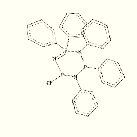 ClP1N=P(c2ccccc2)(c2ccccc2)N(c2ccccc2)P(c2ccccc2)N1c1ccccc1